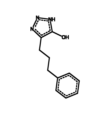 Oc1[nH]nnc1CCCc1ccccc1